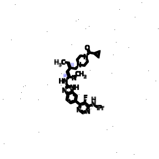 C=N/C(=C\C(=C/C)CN1CCN(C(=O)C2CC2)CC1)Nc1nc2ccc(-c3ncnc(NC(C)C)c3F)cc2[nH]1